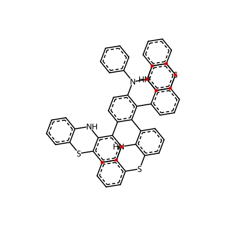 c1ccc(N(c2ccccc2)c2ccc(-c3cccc4c3Nc3ccccc3S4)c(-c3cccc4c3Nc3ccccc3S4)c2-c2cccc3c2Nc2ccccc2S3)cc1